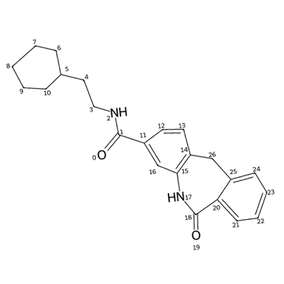 O=C(NCCC1CCCCC1)c1ccc2c(c1)NC(=O)c1ccccc1C2